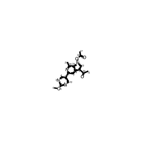 COc1ncc(-c2cc3c(C(C)=O)cn(OC(C)=O)c3c(C)n2)cn1